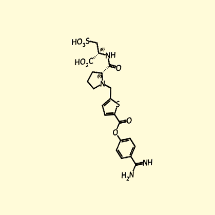 N=C(N)c1ccc(OC(=O)c2ccc(CN3CCC[C@@H]3C(=O)N[C@@H](CS(=O)(=O)O)C(=O)O)s2)cc1